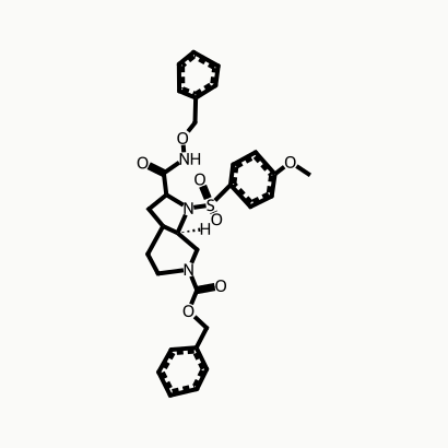 COc1ccc(S(=O)(=O)N2C(C(=O)NOCc3ccccc3)CC3CCN(C(=O)OCc4ccccc4)C[C@@H]32)cc1